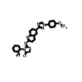 CC(C)c1ccccc1N1C(=O)CS/C1=N\c1ccc2cc(-c3ncn(-c4ccc(OC(F)(F)F)cc4)n3)ccc2n1